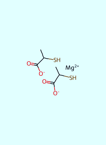 CC(S)C(=O)[O-].CC(S)C(=O)[O-].[Mg+2]